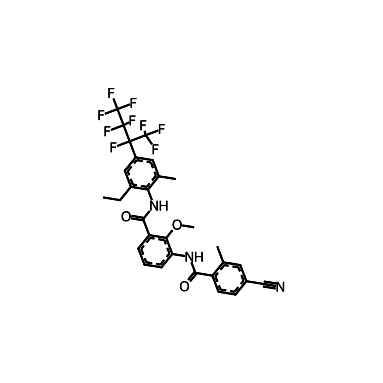 CCc1cc(C(F)(C(F)(F)F)C(F)(F)C(F)(F)F)cc(C)c1NC(=O)c1cccc(NC(=O)c2ccc(C#N)cc2C)c1OC